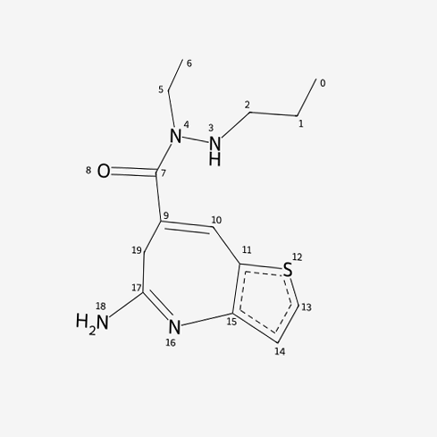 CCCNN(CC)C(=O)C1=Cc2sccc2N=C(N)C1